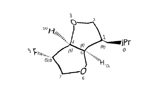 CC(C)[C@@H]1CO[C@H]2[C@@H]1OC[C@@H]2F